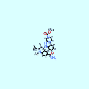 CC(=O)N1c2ccc(C(N)=O)cc2[C@H](Nc2ccccc2N2CCN(C(=O)OC(C)(C)C)CC2)[C@@H](C)[C@H]1C1CC1